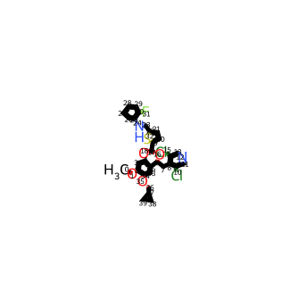 COc1ccc(C(Cc2c(Cl)cncc2Cl)OC(=O)c2ccc(CNc3ccccc3F)s2)cc1OCC1CC1